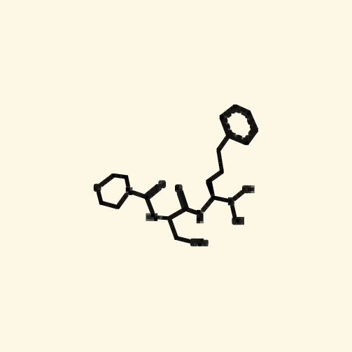 COCC(NC(=O)N1CCOCC1)C(=O)N[C@@H](CCCc1ccccc1)B(O)O